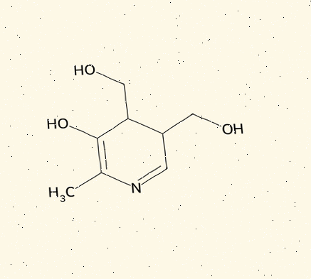 CC1=C(O)C(CO)C(CO)C=N1